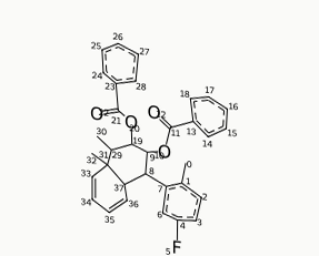 Cc1ccc(F)cc1C1C(OC(=O)c2ccccc2)C(OC(=O)c2ccccc2)C(C)C2(C)C=CC=CC12